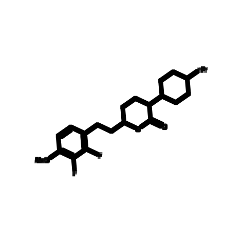 CCCC1CCC(C2CCC(CCc3ccc(OC)c(F)c3F)OC2=O)CC1